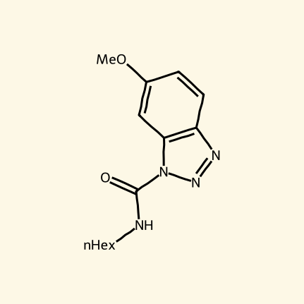 CCCCCCNC(=O)n1nnc2ccc(OC)cc21